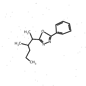 CCC[C](C)C(C)c1nnc(-c2ccccc2)o1